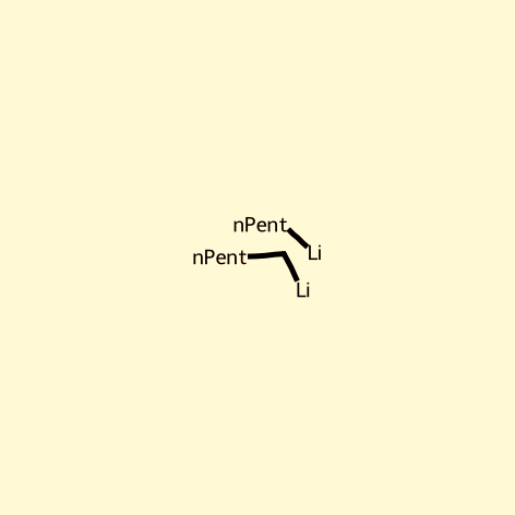 [Li][CH2]CCCC.[Li][CH2]CCCCC